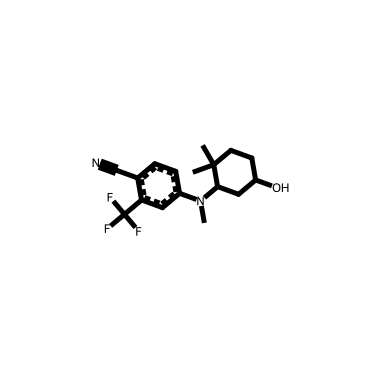 CN(c1ccc(C#N)c(C(F)(F)F)c1)C1CC(O)CCC1(C)C